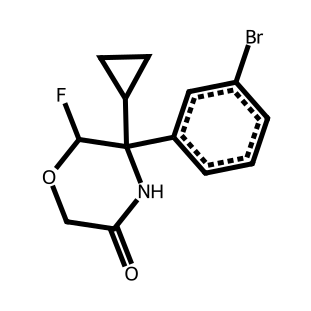 O=C1COC(F)C(c2cccc(Br)c2)(C2CC2)N1